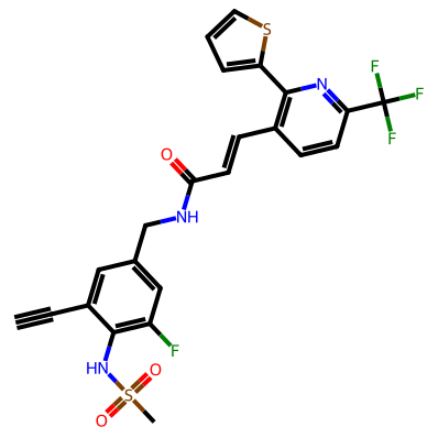 C#Cc1cc(CNC(=O)C=Cc2ccc(C(F)(F)F)nc2-c2cccs2)cc(F)c1NS(C)(=O)=O